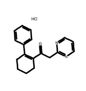 Cl.O=C(Cc1ncccn1)C1=C(c2ccccc2)CCCC1